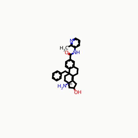 Cc1ncccc1NC(=O)c1ccc2c(c1)CCC1=C3CC(O)C[C@]3(N)CCC12Cc1ccccc1